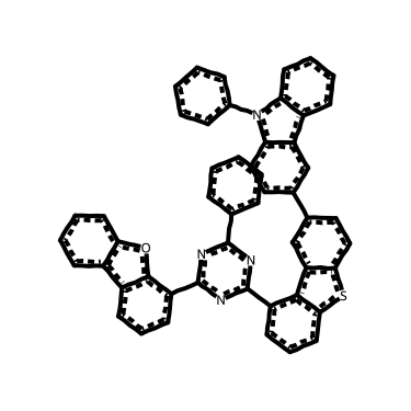 c1ccc(-c2nc(-c3cccc4c3oc3ccccc34)nc(-c3cccc4sc5ccc(-c6ccc7c(c6)c6ccccc6n7-c6ccccc6)cc5c34)n2)cc1